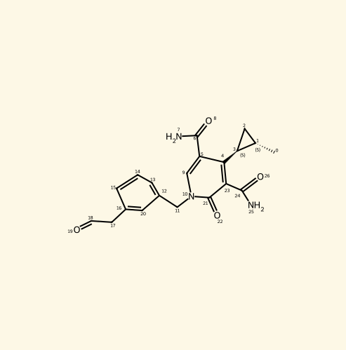 C[C@H]1C[C@@H]1c1c(C(N)=O)cn(Cc2cccc(CC=O)c2)c(=O)c1C(N)=O